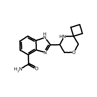 NC(=O)c1cccc2[nH]c(C3COCC4(CCC4)N3)nc12